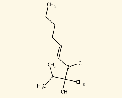 CCCCC=CB(Cl)C(C)(C)C(C)C